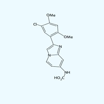 COc1cc(OC)c(-c2cn3ccc(NC(=O)O)cc3n2)cc1Cl